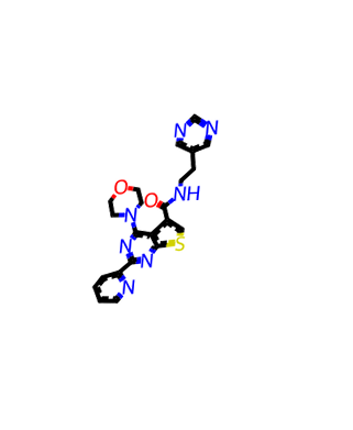 O=C(NCCc1cncnc1)c1csc2nc(-c3ccccn3)nc(N3CCOCC3)c12